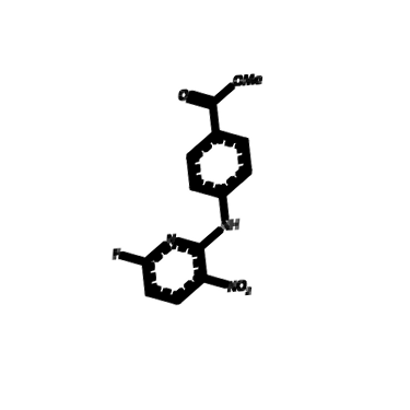 COC(=O)c1ccc(Nc2nc(F)ccc2[N+](=O)[O-])cc1